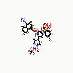 CC(C)(C)OC(=O)N1CCC(c2cccc(OCc3ccc(C#N)c4ccccc34)n2)CC1.Cc1ccc(S(=O)(=O)O)cc1